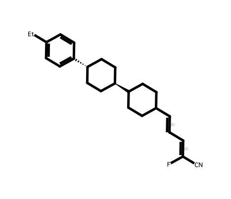 CCc1ccc([C@H]2CC[C@H](C3CCC(/C=C/C=C(\F)C#N)CC3)CC2)cc1